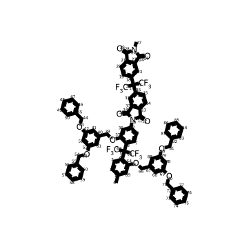 Cc1ccc(C(c2ccc(N3C(=O)c4ccc(C(c5ccc6c(c5)C(=O)N(C)C6=O)(C(F)(F)F)C(F)(F)F)cc4C3=O)cc2OCc2cc(OCc3ccccc3)cc(OCc3ccccc3)c2)(C(F)(F)F)C(F)(F)F)c(OCc2cc(OCc3ccccc3)cc(OCc3ccccc3)c2)c1